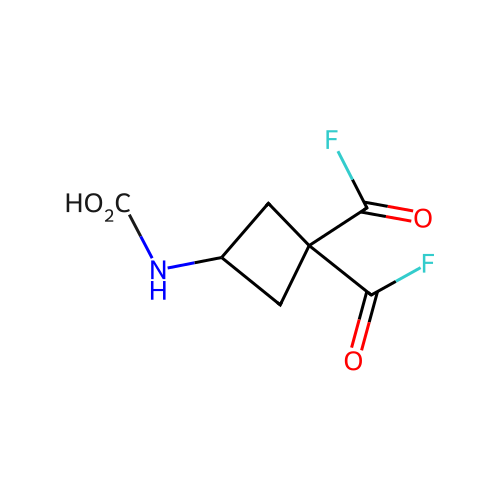 O=C(O)NC1CC(C(=O)F)(C(=O)F)C1